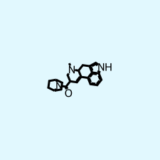 CN1CC(C(=O)N2C3CCC2CC3)C=C2c3cccc4[nH]cc(c34)CC21